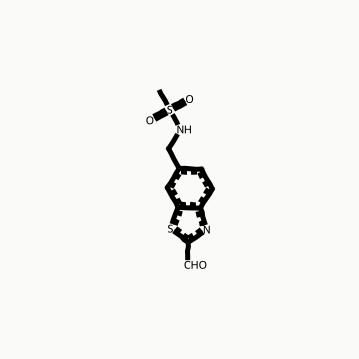 CS(=O)(=O)NCc1ccc2nc(C=O)sc2c1